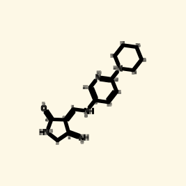 N=C1CNC(=O)/C1=C/Nc1ccc(N2CCCCC2)nc1